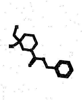 N#CC1(CCl)CCCN(C(=O)OCc2ccccc2)C1